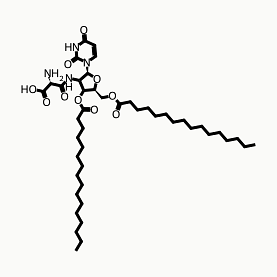 CCCCCCCCCCCCCCCC(=O)OC[C@@H]1O[C@H](n2ccc(=O)[nH]c2=O)C(NC(=O)[C@@H](N)C(=O)O)C1OC(=O)CCCCCCCCCCCCCCC